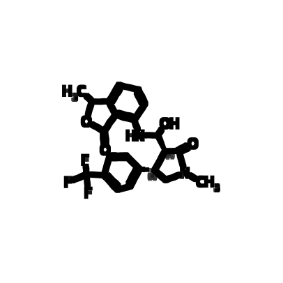 CC1OC(=O)c2c(NC(O)[C@H]3C(=O)N(C)C[C@@H]3c3ccc(C(F)(F)F)cc3)cccc21